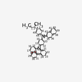 CCC(C)c1ccc(N(c2ccc(N(c3ccccc3)c3ccccc3-c3ccccc3)cc2)c2ccc3ccccc3c2)cc1